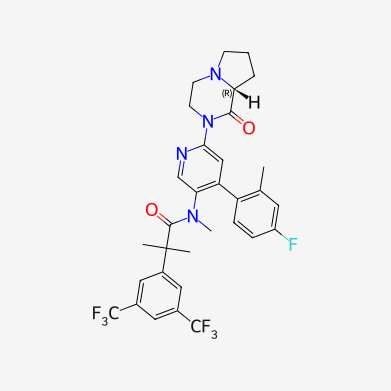 Cc1cc(F)ccc1-c1cc(N2CCN3CCC[C@@H]3C2=O)ncc1N(C)C(=O)C(C)(C)c1cc(C(F)(F)F)cc(C(F)(F)F)c1